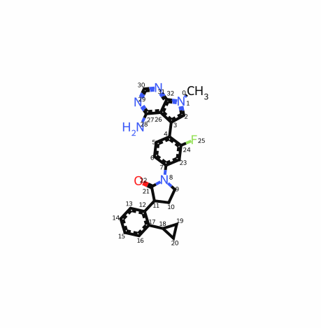 Cn1cc(-c2ccc(N3CCC(c4ccccc4C4CC4)C3=O)cc2F)c2c(N)ncnc21